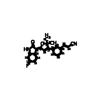 CC1(C)OC(=C2C(=O)Nc3cc(F)ccc32)C=C1c1cccc(/C=C/C#N)c1